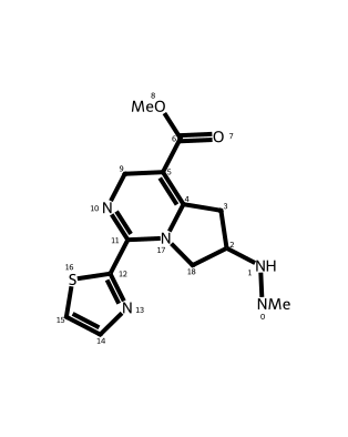 CNNC1CC2=C(C(=O)OC)CN=C(c3nccs3)N2C1